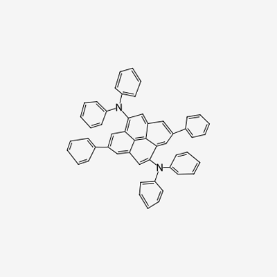 c1ccc(-c2cc3cc(N(c4ccccc4)c4ccccc4)c4cc(-c5ccccc5)cc5cc(N(c6ccccc6)c6ccccc6)c(c2)c3c54)cc1